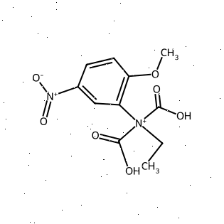 CC[N+](C(=O)O)(C(=O)O)c1cc([N+](=O)[O-])ccc1OC